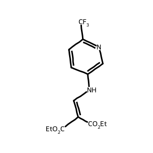 CCOC(=O)C(=CNc1ccc(C(F)(F)F)nc1)C(=O)OCC